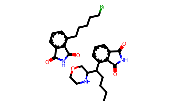 CCCCC(c1cccc2c1C(=O)NC2=O)C1COCCN1.O=C1NC(=O)c2c(CCCCCBr)cccc21